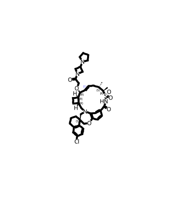 C[C@@H]1[C@@H](C)C/C=C/[C@H](OCC(=O)N2CC(N3CCCC3)C2)[C@@H]2CC[C@H]2CN2C[C@@]3(CCCc4cc(Cl)ccc43)COc3ccc(cc32)C(=O)NS1(=O)=O